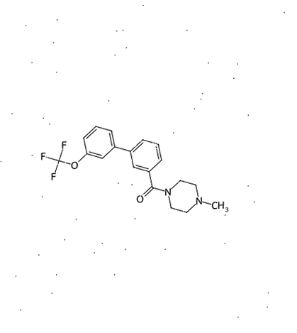 CN1CCN(C(=O)c2cccc(-c3cccc(OC(F)(F)F)c3)c2)CC1